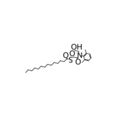 CCCCCCCCCCCCCC(=O)SCC(=O)N(CC(=O)O)c1c(C)cccc1C